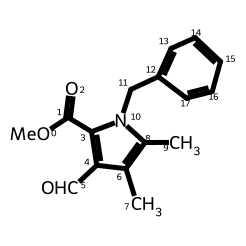 COC(=O)c1c(C=O)c(C)c(C)n1Cc1ccccc1